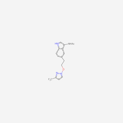 CC(=O)Nc1c[nH]c2ccc(CCOn3ccc(C(F)(F)F)n3)cc12